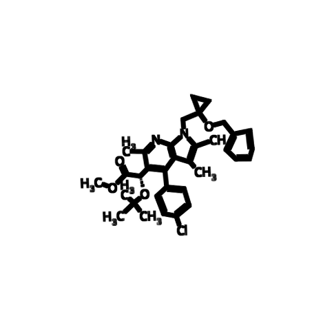 COC(=O)[C@@H](OC(C)(C)C)c1c(C)nc2c(c(C)c(C)n2CC2(OCc3ccccc3)CC2)c1-c1ccc(Cl)cc1